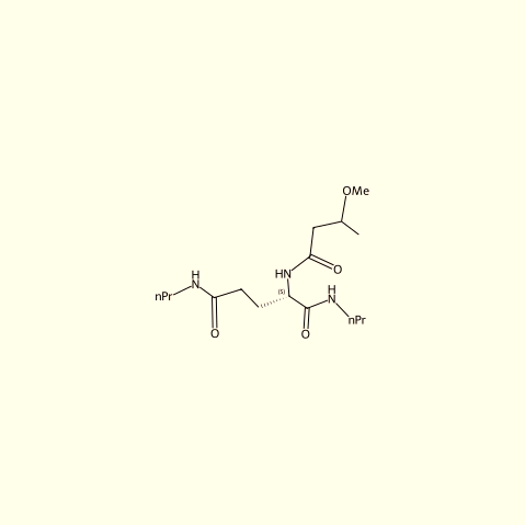 CCCNC(=O)CC[C@H](NC(=O)CC(C)OC)C(=O)NCCC